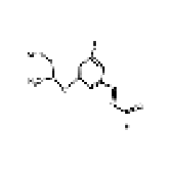 CNCC(C)Oc1cc(F)cc(/C=C/C(=O)C(C)C)c1